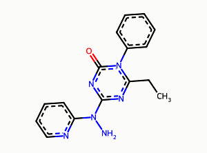 CCc1nc(N(N)c2ccccn2)nc(=O)n1-c1ccccc1